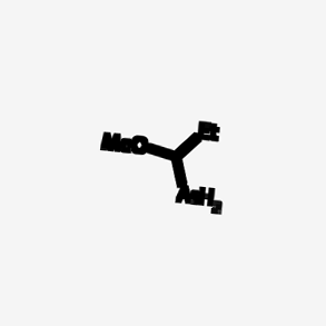 CCC([AsH2])OC